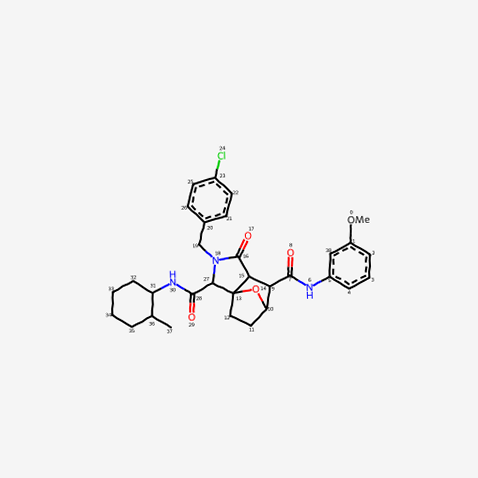 COc1cccc(NC(=O)C2C3CCC4(O3)C2C(=O)N(Cc2ccc(Cl)cc2)C4C(=O)NC2CCCCC2C)c1